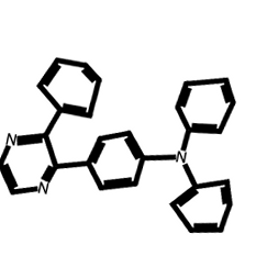 c1ccc(-c2nccnc2-c2ccc(N(c3ccccc3)c3ccccc3)cc2)cc1